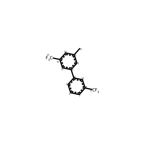 Cc1cc(-c2cccc(C(F)(F)F)c2)cc(C(F)(F)F)c1